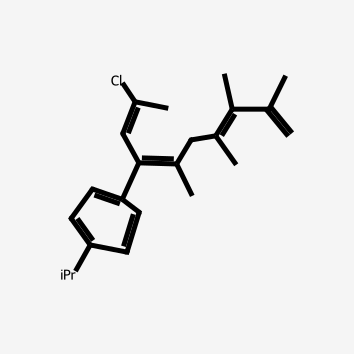 C=C(C)/C(C)=C(\C)C/C(C)=C(\C=C(/C)Cl)c1ccc(C(C)C)cc1